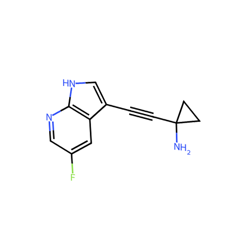 NC1(C#Cc2c[nH]c3ncc(F)cc23)CC1